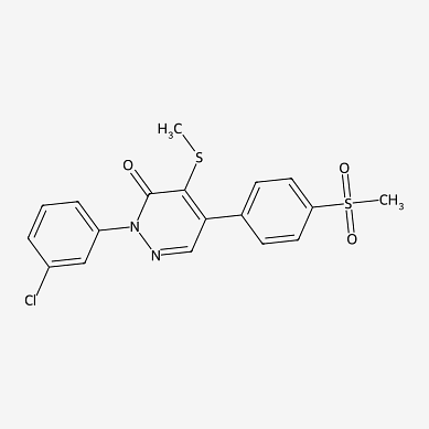 CSc1c(-c2ccc(S(C)(=O)=O)cc2)cnn(-c2cccc(Cl)c2)c1=O